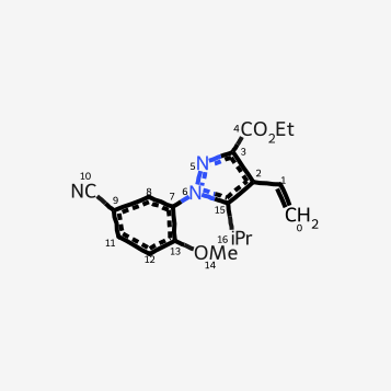 C=Cc1c(C(=O)OCC)nn(-c2cc(C#N)ccc2OC)c1C(C)C